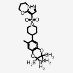 BC1(B)Oc2cc(C)c(C3CCN(S(=O)(=O)c4cnn5c4OCCC5)CC3)cc2OC1(B)B